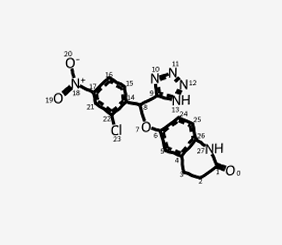 O=C1CCc2cc(OC(c3nnn[nH]3)c3ccc([N+](=O)[O-])cc3Cl)ccc2N1